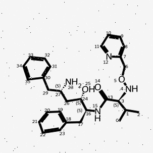 CC(C)[C@H](NOCc1ccccn1)C(=O)N[C@@H](Cc1ccccc1)[C@@H](O)C[C@@H](N)Cc1ccccc1